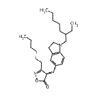 CCCCCCC1=NOC(=O)C1=Cc1ccc2c(c1)CCN2CC(CC)CCCCC